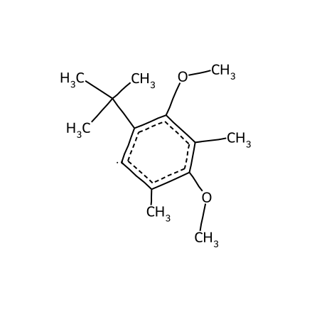 COc1c(C)[c]c(C(C)(C)C)c(OC)c1C